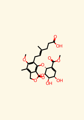 COC(=O)C1=C[C@@H](O)[C@@H](O)[C@@H](O)[C@@H]1Oc1c(C/C=C(\C)CCC(=O)O)c(OC)c(C)c2c1C(=O)OC2